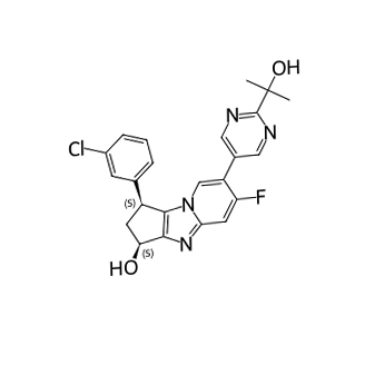 CC(C)(O)c1ncc(-c2cn3c4c(nc3cc2F)[C@@H](O)C[C@H]4c2cccc(Cl)c2)cn1